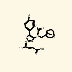 O=C(O)C=CC(=O)O.O=C(O)N(CC1CN2CCC1CC2)c1ncsc1-c1ccc(F)cc1